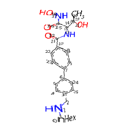 CCCCCCNCc1ccc(-c2ccc(C(=O)N[C@H](C(=O)NO)[C@@H](C)O)cc2)cc1